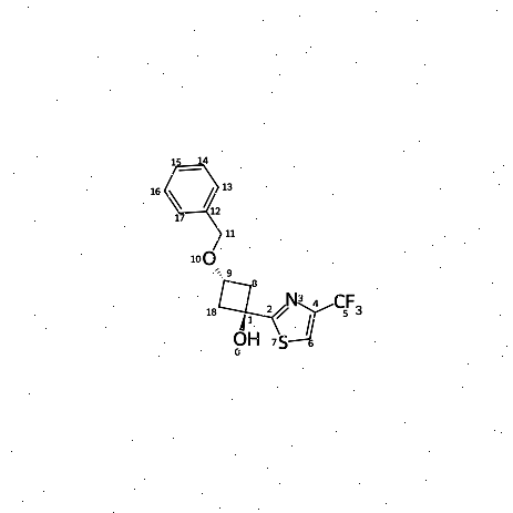 O[C@]1(c2nc(C(F)(F)F)cs2)C[C@@H](OCc2ccccc2)C1